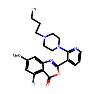 CCc1cc(OC)cc2nc(-c3cccnc3N3CCN(CCCC#N)CC3)oc(=O)c12